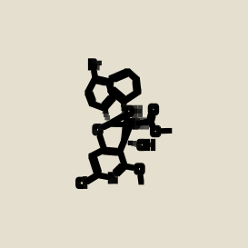 COC(=O)[C@@H]1[C@@H](c2ccccc2)[C@]2(c3ccc(Br)cc3)Oc3cc(Cl)nc(OC)c3[C@@]1(O)C2(O)O